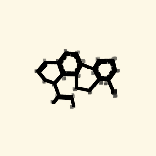 C[C]=C(C)C1CC=Cc2ccc3c(c21)CCc1c(Cl)cccc1-3